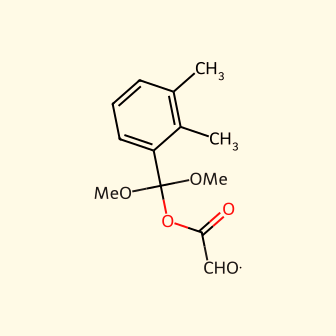 COC(OC)(OC(=O)[C]=O)c1cccc(C)c1C